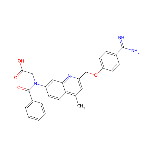 Cc1cc(COc2ccc(C(=N)N)cc2)nc2cc(N(CC(=O)O)C(=O)c3ccccc3)ccc12